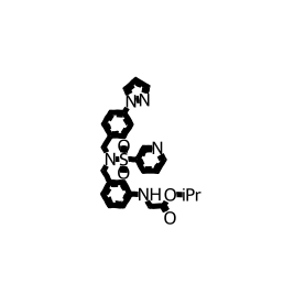 CC(C)OC(=O)CNc1cccc(CN(Cc2ccc(-n3cccn3)cc2)S(=O)(=O)c2cccnc2)c1